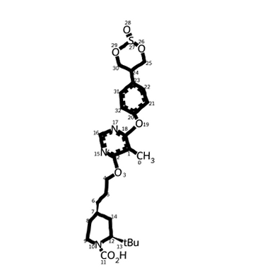 Cc1c(OCCC[C@@H]2CCN(C(=O)O)[C@H](C(C)(C)C)C2)ncnc1Oc1ccc(C2COS(=O)OC2)cc1